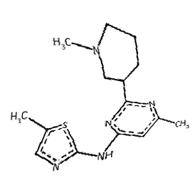 Cc1cc(Nc2ncc(C)s2)nc(C2CCCN(C)C2)n1